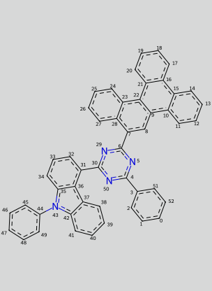 c1ccc(-c2nc(-c3cc4c5ccccc5c5ccccc5c4c4ccccc34)nc(-c3cccc4c3c3ccccc3n4-c3ccccc3)n2)cc1